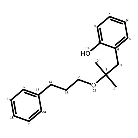 CC(C)(Cc1ccccc1O)OCCCc1ccccc1